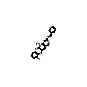 Cn1c(=O)c(Oc2ccccc2F)cc2cnc(NCc3cccnc3)nc21